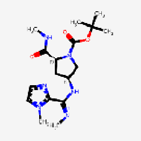 C/N=C(/N[C@H]1C[C@@H](C(=O)NC)N(C(=O)OC(C)(C)C)C1)c1nccn1C